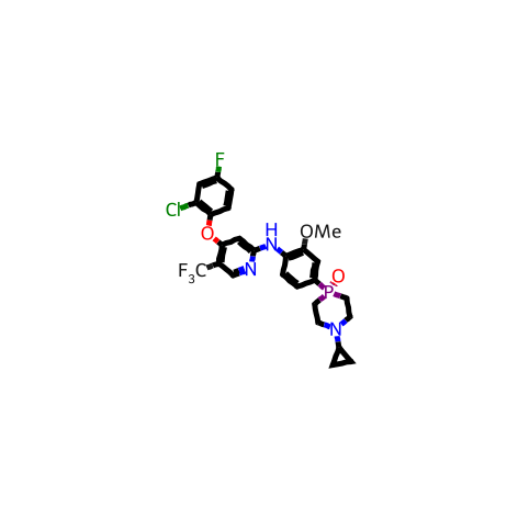 COc1cc(P2(=O)CCN(C3CC3)CC2)ccc1Nc1cc(Oc2ccc(F)cc2Cl)c(C(F)(F)F)cn1